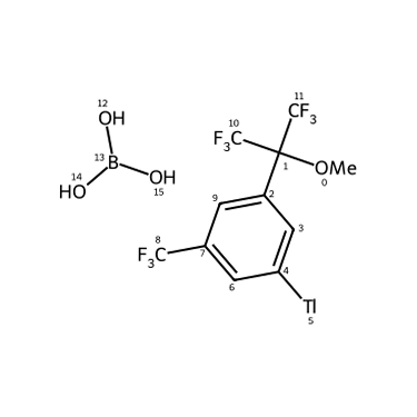 COC(c1c[c]([Tl])cc(C(F)(F)F)c1)(C(F)(F)F)C(F)(F)F.OB(O)O